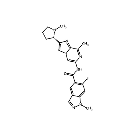 Cc1nc(NC(=O)c2cc3cnn(C)c3cc2F)cn2cc([C@H]3CCCN3C)nc12